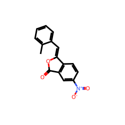 Cc1ccccc1C=C1OC(=O)c2cc([N+](=O)[O-])ccc21